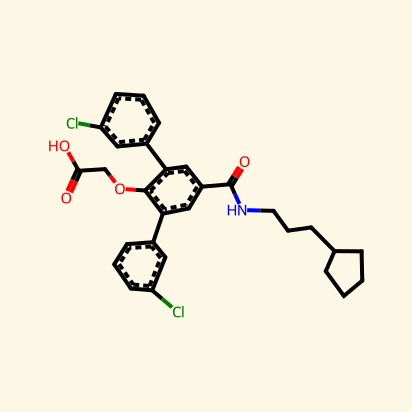 O=C(O)COc1c(-c2cccc(Cl)c2)cc(C(=O)NCCCC2CCCC2)cc1-c1cccc(Cl)c1